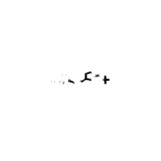 CC(C)(C)OC(=O)N1CCC(COCC(S)NN)C1